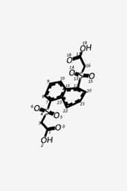 O=C(O)CS(=O)(=O)c1cccc2c(S(=O)(=O)CC(=O)O)cccc12